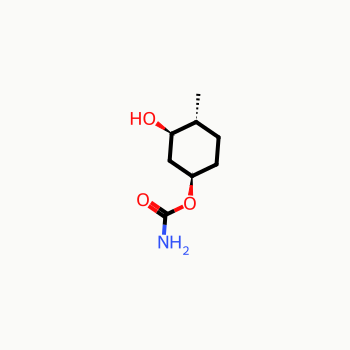 C[C@@H]1CC[C@@H](OC(N)=O)C[C@H]1O